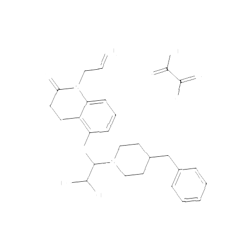 C=CCN1C(=O)CCc2c(OC(C(C)O)N3CCC(Cc4ccccc4)CC3)cccc21.O=C(O)C(=O)O